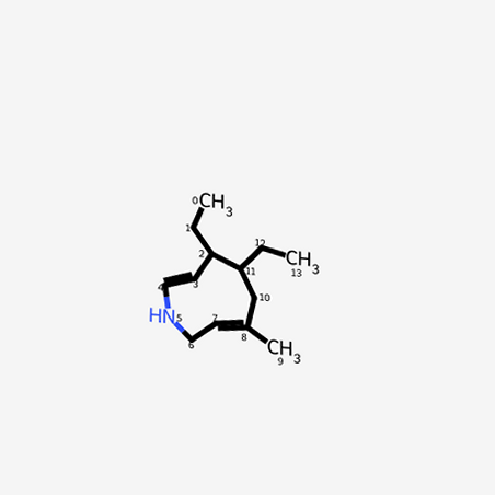 CCC1/C=C/NC/C=C(\C)CC1CC